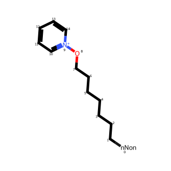 CCCCCCCCCCCCCCCCO[n+]1ccccc1